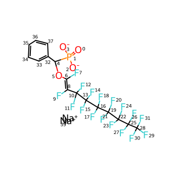 O=P([O-])([O-])C(OC(F)=C(F)C(F)(F)C(F)(F)C(F)(F)C(F)(F)C(F)(F)C(F)(F)C(F)(F)F)c1ccccc1.[Na+].[Na+]